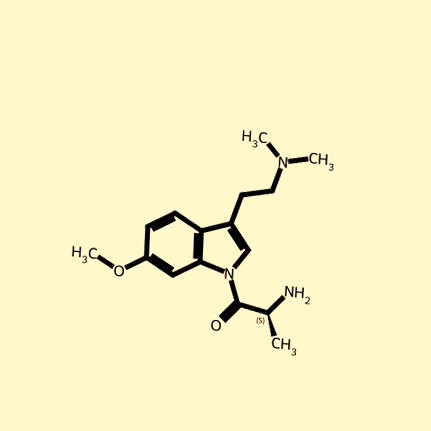 COc1ccc2c(CCN(C)C)cn(C(=O)[C@H](C)N)c2c1